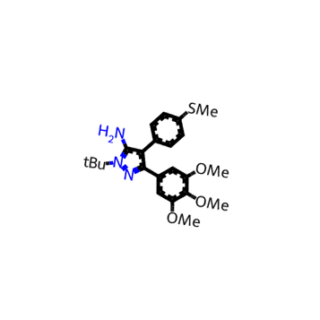 COc1cc(-c2nn(C(C)(C)C)c(N)c2-c2ccc(SC)cc2)cc(OC)c1OC